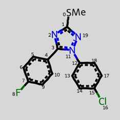 CSc1nc(-c2ccc(F)cc2)n(-c2ccc(Cl)cc2)n1